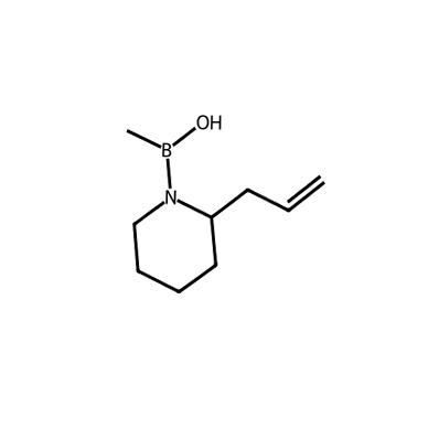 C=CCC1CCCCN1B(C)O